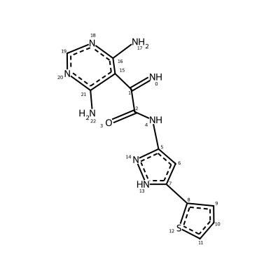 N=C(C(=O)Nc1cc(-c2cccs2)[nH]n1)c1c(N)ncnc1N